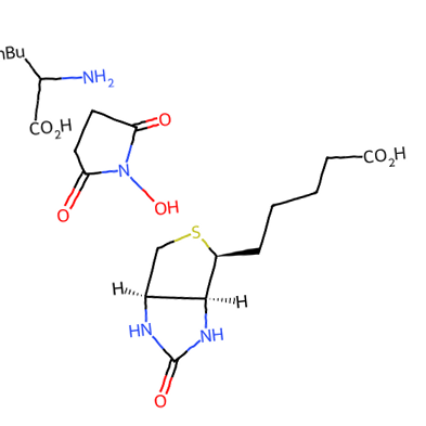 CCCCC(N)C(=O)O.O=C(O)CCCC[C@@H]1SC[C@@H]2NC(=O)N[C@@H]21.O=C1CCC(=O)N1O